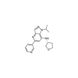 CC(C)n1ncc2nc(-c3cccnc3)cc(N[C@@H]3CCOC3)c21